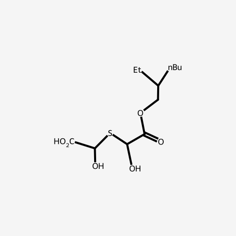 CCCCC(CC)COC(=O)C(O)SC(O)C(=O)O